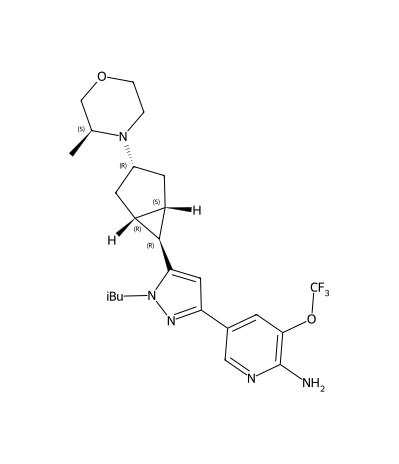 CCC(C)n1nc(-c2cnc(N)c(OC(F)(F)F)c2)cc1[C@H]1[C@@H]2C[C@H](N3CCOC[C@@H]3C)C[C@@H]21